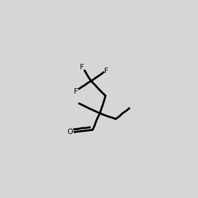 CCC(C)(C=O)CC(F)(F)F